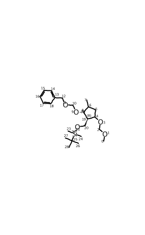 COCOC1CC(C)[C@@H](OCOCc2ccccc2)[C@@H]1CO[Si](C)(C)C(C)(C)C